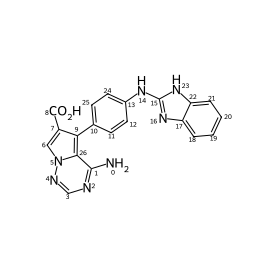 Nc1ncnn2cc(C(=O)O)c(-c3ccc(Nc4nc5ccccc5[nH]4)cc3)c12